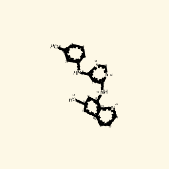 Oc1cccc(Nc2cc(Nc3cc(O)cc4cccnc34)ncn2)c1